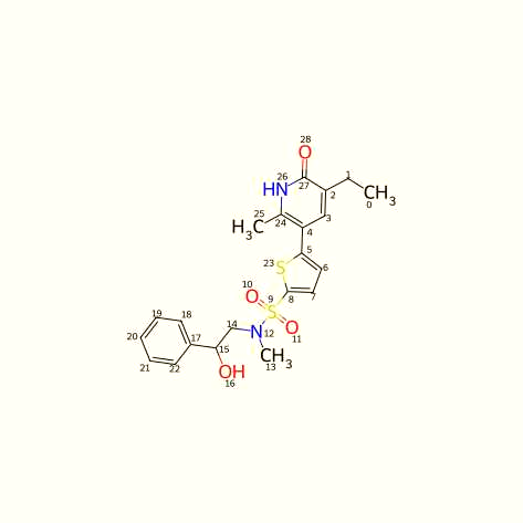 CCc1cc(-c2ccc(S(=O)(=O)N(C)CC(O)c3ccccc3)s2)c(C)[nH]c1=O